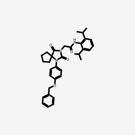 CC(C)c1cccc(C(C)C)c1NC(=O)CN1C(=O)N(c2ccc(OCc3ccccc3)cc2)C2(CCCC2)C1=O